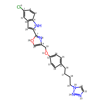 Clc1ccc2[nH]c(-c3nc(COc4ccc(CCCCn5ccnn5)cc4)co3)cc2c1